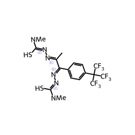 CN/C(S)=N/N=C(C)/C(=N/N=C(\S)NC)c1ccc(C(C(F)(F)F)(C(F)(F)F)C(F)(F)F)cc1